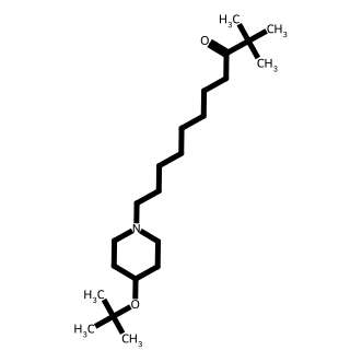 CC(C)(C)OC1CCN(CCCCCCCCC(=O)C(C)(C)C)CC1